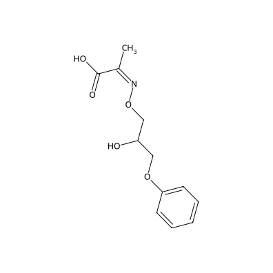 C/C(=N/OCC(O)COc1ccccc1)C(=O)O